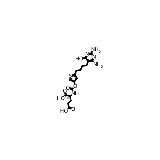 Nc1nc(N)c(CCCCc2cc(OC(=O)N[C@@H](CCC(=O)O)C(=O)O)cs2)c(O)n1